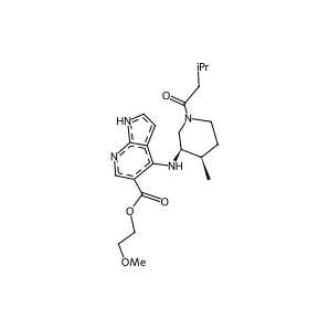 COCCOC(=O)c1cnc2[nH]ccc2c1N[C@H]1CN(C(=O)CC(C)C)CC[C@H]1C